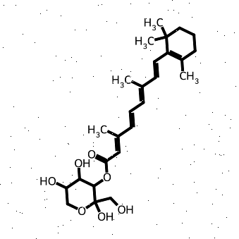 CC1=C(/C=C/C(C)=C/C=C/C(C)=C/C(=O)OC2C(O)C(O)COC2(O)CO)C(C)(C)CCC1